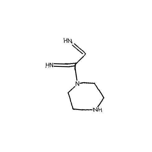 N=CC(=N)N1CCNCC1